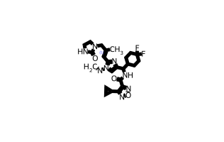 C=Nn1cc(C(NC(=O)c2nonc2C2CC2)C2CCC(F)(F)CC2)nc1/C=C(\C)CN1CCNC1=O